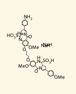 COc1ccc(C2=CN3C(=O)c4cc(OC)c(OCCCOc5cc6c(cc5OC)C(=O)N5C=C(c7ccc(N)cc7)C[C@H]5C(S(=O)(=O)O)=N6)cc4NC(S(=O)(=O)O)C3C2)cc1.[NaH].[NaH]